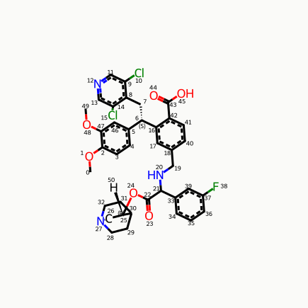 COc1ccc([C@H](Cc2c(Cl)cncc2Cl)c2cc(CNC(C(=O)O[C@H]3CN4CCC3CC4)c3cccc(F)c3)ccc2C(=O)O)cc1OC